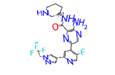 Nc1ncc(-c2cc(-c3cnn(CC(F)(F)F)c3)ncc2F)nc1C(=O)N[C@H]1CCCNC1